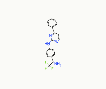 NC(c1ccc(Nc2nccc(-c3ccccc3)n2)cc1)C(F)(F)F